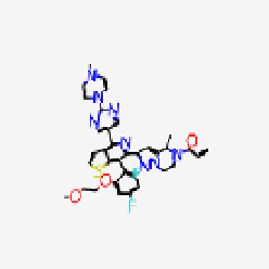 C=CC(=O)N1CCn2nc(-c3nc(-c4cnc(N5CCN(C)CC5)nc4)c4ccsc4c3-c3c(F)cc(F)cc3OCCOC)cc2[C@H]1C